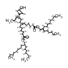 CCCCCCCCC(CCCCCC)COC(=O)CCCCCN(CCCCCC(=O)OCC(CCCCCC)CCCCCCCC)CCN(CCC)C1CC(O)C1